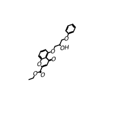 CCOC(=O)c1cc(=O)c2c(OCC(O)COc3ccccc3)cccc2o1